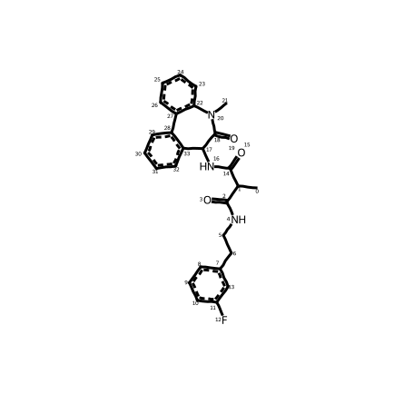 CC(C(=O)NCCc1cccc(F)c1)C(=O)NC1C(=O)N(C)c2ccccc2-c2ccccc21